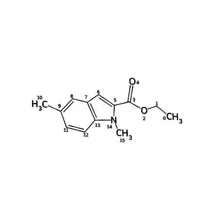 CCOC(=O)c1cc2cc(C)ccc2n1C